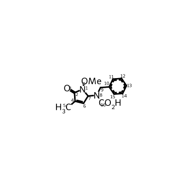 CON1C(=O)C(C)=CC1N(Cc1ccccc1)C(=O)O